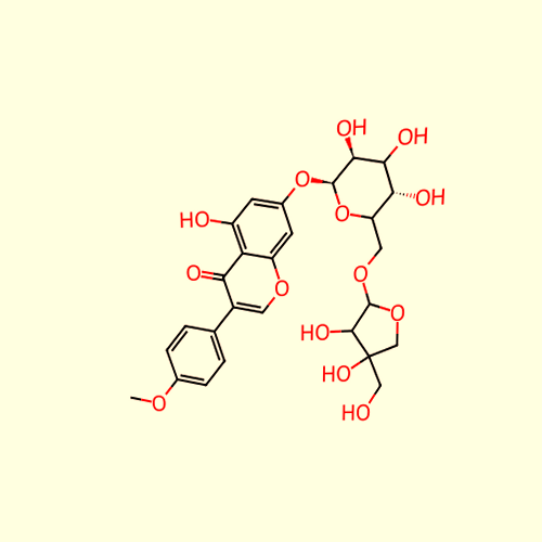 COc1ccc(-c2coc3cc(O[C@@H]4OC(COC5OCC(O)(CO)C5O)[C@@H](O)C(O)[C@@H]4O)cc(O)c3c2=O)cc1